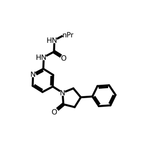 CCCNC(=O)Nc1cc(N2CC(c3ccccc3)CC2=O)ccn1